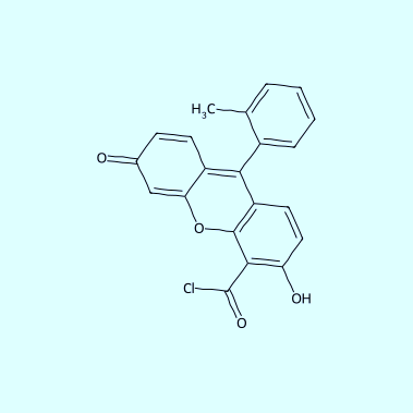 Cc1ccccc1-c1c2ccc(=O)cc-2oc2c(C(=O)Cl)c(O)ccc12